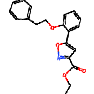 CCOC(=O)c1cc(-c2ccccc2OCCc2ccccc2)on1